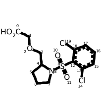 O=C(O)COCC1CCCN1S(=O)(=O)c1c(Cl)cccc1Cl